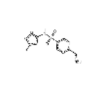 CCCCSc1ccc(S(=O)(=O)Nc2cc(C)on2)cc1